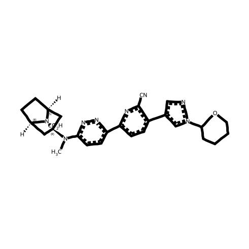 CN(c1ccc(-c2ccc(-c3cnn(C4CCCCO4)c3)c(C#N)n2)nn1)[C@H]1C[C@H]2CC[C@@H](C1)N2C(=O)O